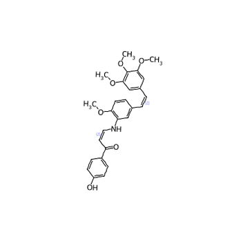 COc1ccc(/C=C\c2cc(OC)c(OC)c(OC)c2)cc1N/C=C\C(=O)c1ccc(O)cc1